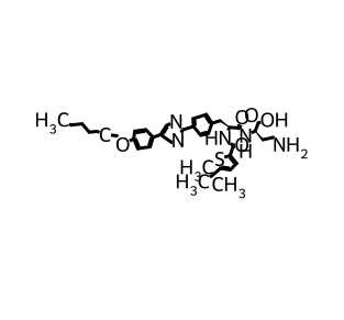 CCCCCCCOc1ccc(-c2cnc(-c3ccc(C[C@H](NC(=O)c4ccc(C(C)(C)C)s4)C(=O)N[C@H](CCN)C(=O)O)cc3)nc2)cc1